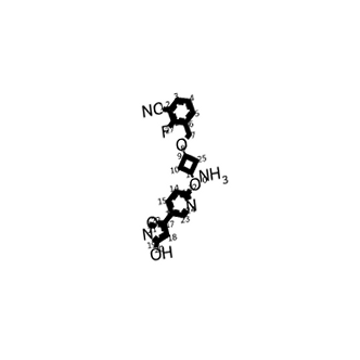 N.N#Cc1cccc(CO[C@H]2C[C@@H](Oc3ccc(-c4cc(O)no4)cn3)C2)c1F